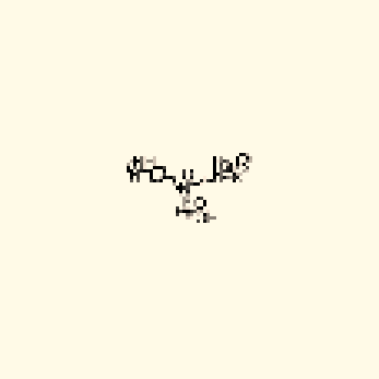 CN(CCc1ccc(C2=NCCN2)cc1)C(=O)CCCNCS(=O)(=O)c1cccs1.O=C(O)C(F)(F)F